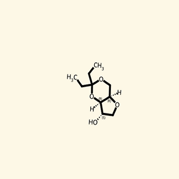 CCC1(CC)OC[C@H]2OC[C@H](O)[C@H]2O1